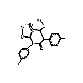 CCOC(OCC)C(C(=O)C(c1ccc(F)cc1)C(OCC)OCC)c1ccc(F)cc1